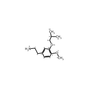 COc1ccc(CCN)cc1OCC(C)C